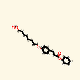 O=C(/C=C/c1ccc(OCCCCCCCCO)cc1)Oc1ccccc1